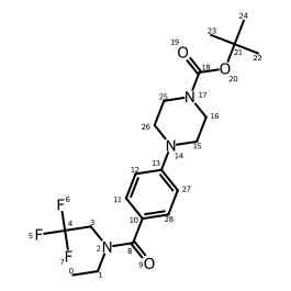 CCN(CC(F)(F)F)C(=O)c1ccc(N2CCN(C(=O)OC(C)(C)C)CC2)cc1